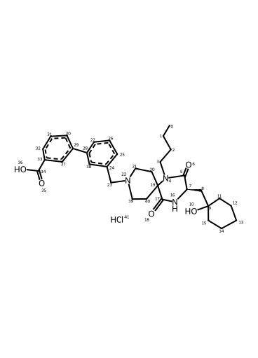 CCCCN1C(=O)[C@@H](CC2(O)CCCCC2)NC(=O)C12CCN(Cc1cccc(-c3cccc(C(=O)O)c3)c1)CC2.Cl